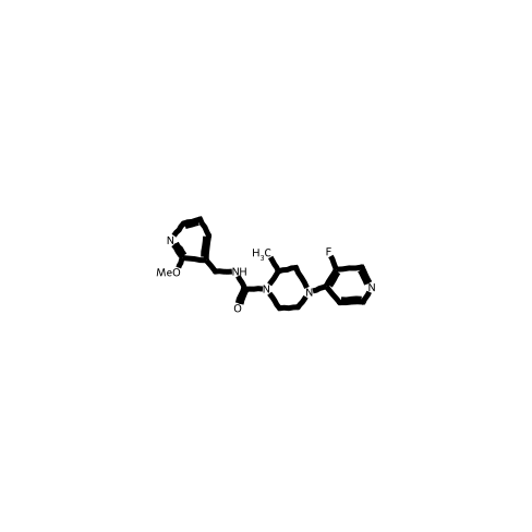 COc1ncccc1CNC(=O)N1CCN(c2ccncc2F)CC1C